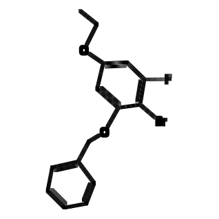 CCOc1cc(F)c(Br)c(OCc2ccccc2)c1